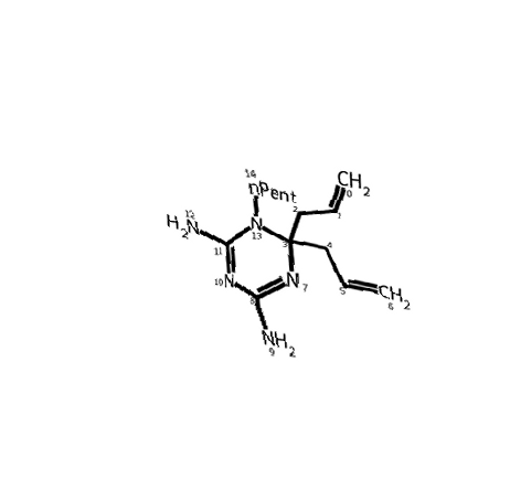 C=CCC1(CC=C)N=C(N)N=C(N)N1CCCCC